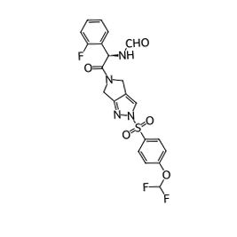 O=CN[C@@H](C(=O)N1Cc2cn(S(=O)(=O)c3ccc(OC(F)F)cc3)nc2C1)c1ccccc1F